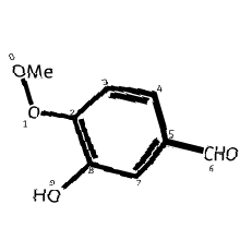 COOc1ccc(C=O)cc1O